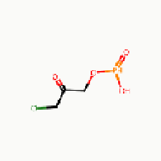 O=C(CCl)CO[PH](=O)O